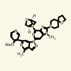 COc1ccncc1-c1cc2c(cnn2-c2cc3c(nc(N4CCC5(CCCO5)CC4)n3C)c(N3C[C@H]4C[C@@H]3CO4)n2)c(C)n1